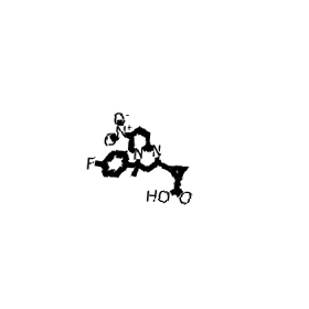 CC1(c2ccc(F)cc2)CC(C2CC2C(=O)O)N=C2C=CC([N+](=O)[O-])=CN21